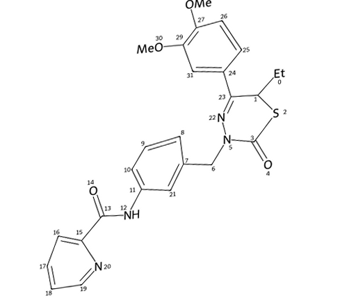 CCC1SC(=O)N(Cc2cccc(NC(=O)c3ccccn3)c2)N=C1c1ccc(OC)c(OC)c1